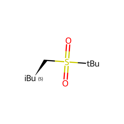 CC[C@H](C)CS(=O)(=O)C(C)(C)C